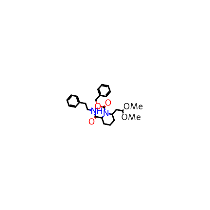 COC(CC1CCCC(C(=O)NCCc2ccccc2)N1C(=O)OCc1ccccc1)OC